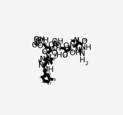 COC1C(OP(=O)(O)OCC2OC(n3cnc4c(=O)[nH]c(N)nc43)C(O)C2O)C(COP(=O)(O)O)OC1n1cnc2c(NCc3cccc(C)c3)ncnc21